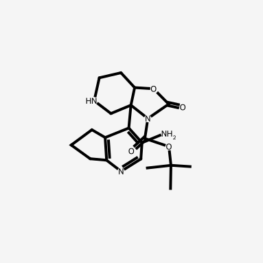 CC(C)(C)OC(=O)N1C(=O)OC2CCNCC21c1c(N)cnc2c1CCC2